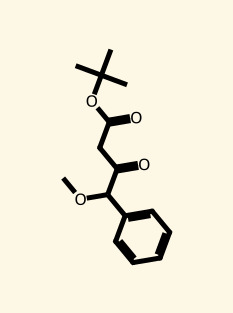 COC(C(=O)CC(=O)OC(C)(C)C)c1ccccc1